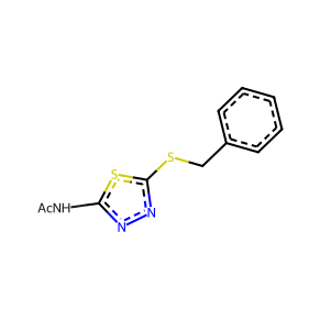 CC(=O)Nc1nnc(SCc2ccccc2)s1